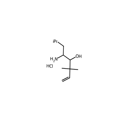 C=CC(C)(C)C(O)C(N)CC(C)C.Cl